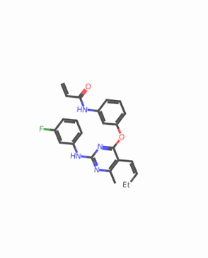 C=CC(=O)Nc1cccc(Oc2nc(Nc3cccc(F)c3)nc(C)c2/C=C\CC)c1